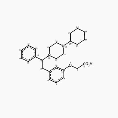 O=C(O)COc1cccc(CC(c2ccccc2)N2CCN(C3CCCCC3)CC2)c1